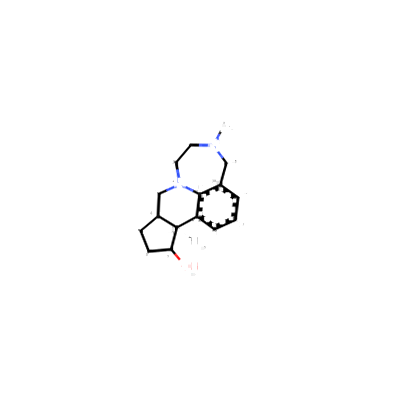 CC(=O)N1CCN2CC3CCC(O)[C@@H]3c3cccc(c32)C1